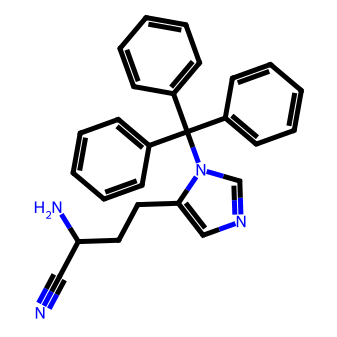 N#CC(N)CCc1cncn1C(c1ccccc1)(c1ccccc1)c1ccccc1